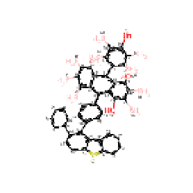 Bc1c(B)c(-c2c3c(B)c(B)c(B)c(B)c3c(-c3ccc(-c4c(-c5ccccc5)ccc5sc6ccccc6c45)cc3)c3c(O)c(B)c(B)c(O)c23)c(B)c(B)c1O